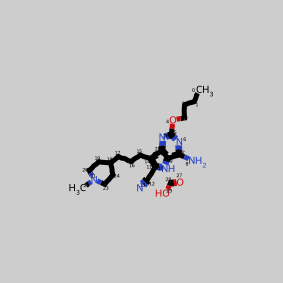 CCCCOc1nc(N)c2[nH]c(C#N)c(CCCC3CCN(C)CC3)c2n1.O=CO